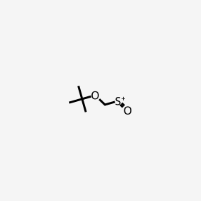 CC(C)(C)OC[S+]=O